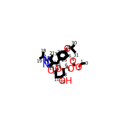 CCOC(=O)OC[C@@H]1C[C@H](O)C[C@H](Oc2nn(C(C)C)c(C)c2Cc2ccc(OC(C)C)cc2)O1